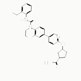 CCc1ccccc1NC(=O)N1CCOc2cc(-c3ccc(OC4CCC(C(=O)O)C4)nc3)ccc21